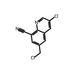 N#Cc1cc(CCl)cc2cc(Cl)cnc12